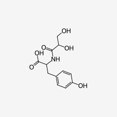 O=C(NC(Cc1ccc(O)cc1)C(=O)O)C(O)CO